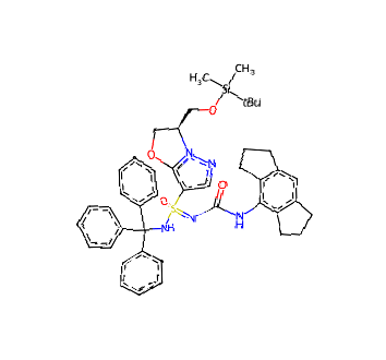 CC(C)(C)[Si](C)(C)OC[C@@H]1COc2c(S(=O)(=NC(=O)Nc3c4c(cc5c3CCC5)CCC4)NC(c3ccccc3)(c3ccccc3)c3ccccc3)cnn21